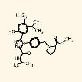 COC(=O)C1CCCN1Cc1ccc(-n2c(C(=O)NC(C)C)nnc2-c2cc(C(C)C)c(OC)cc2O)cc1